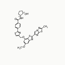 COc1cc(OCc2csc(-c3ccc(C(=O)N[C@H]4CCC[C@@H]4O)cc3)n2)c2sc(-c3cn4nc(C)sc4n3)nc2c1